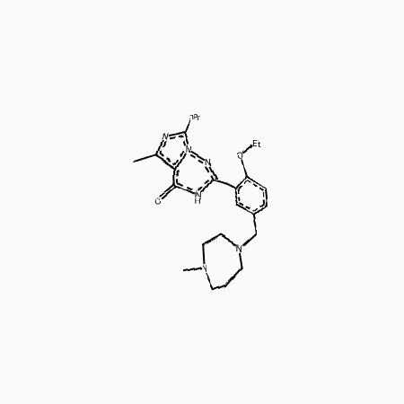 CCCc1nc(C)c2c(=O)[nH]c(-c3cc(CN4CCCN(C)CC4)ccc3OCC)nn12